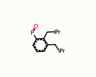 CC(C)Cc1cccc(P=O)c1CC(C)C